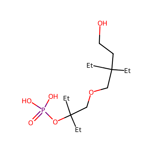 CCC(CC)(CCO)COCC(CC)(CC)OP(=O)(O)O